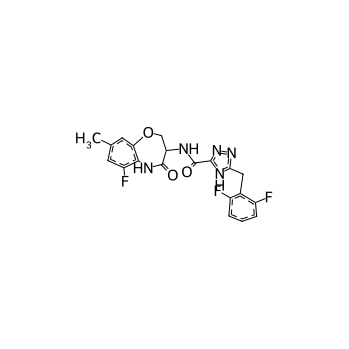 Cc1cc(F)c2c(c1)OCC(NC(=O)c1nnc(Cc3c(F)cccc3F)[nH]1)C(=O)N2